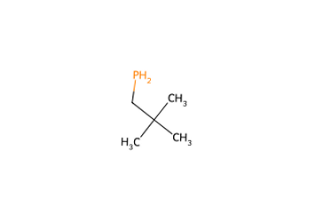 CC(C)(C)CP